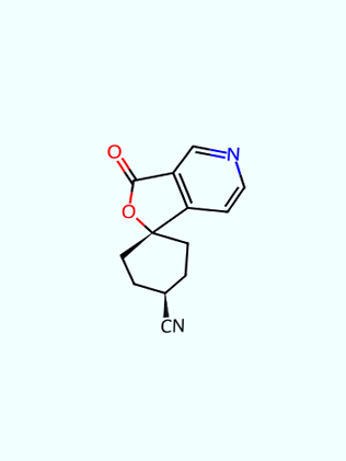 N#C[C@H]1CC[C@@]2(CC1)OC(=O)c1cnccc12